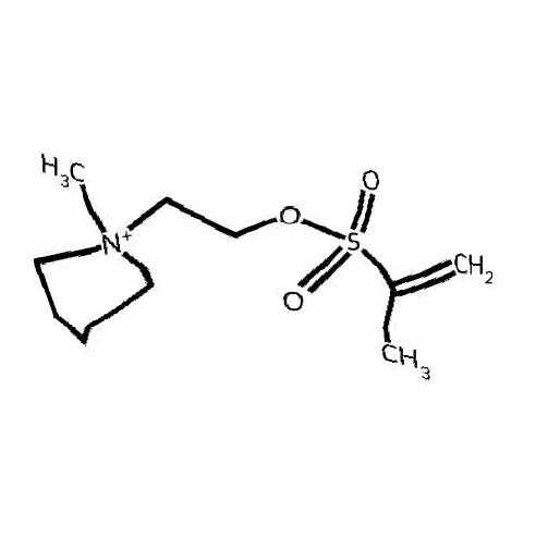 C=C(C)S(=O)(=O)OCC[N+]1(C)CCCC1